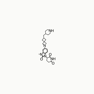 Cn1c(=O)n(C2CCC(=O)NC2=O)c2ccc(N3CC4(CC(CC5CCNCC5)C4)C3)cc21